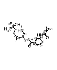 CC(C)(F)CCC1=CC1C(C=N)CNC(=O)c1ccnc(NC(=O)C2CC2)c1